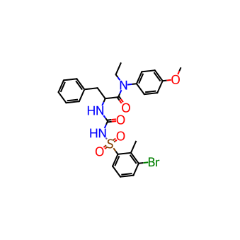 CCN(C(=O)C(Cc1ccccc1)NC(=O)NS(=O)(=O)c1cccc(Br)c1C)c1ccc(OC)cc1